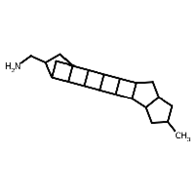 CC1CC2CC3C(C2C1)C1C3C2C1C1C3C4CC3(CC4CN)C21